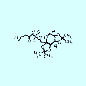 CCC(=O)NS(=O)(=O)OC[C@@]12OC[C@H]3OC(C)(C)O[C@H]3C1OC(C)(C)O2